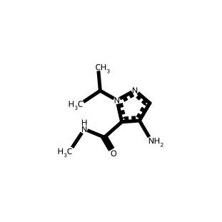 CNC(=O)c1c(N)cnn1C(C)C